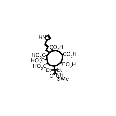 CCC(CC)(C(=O)NOC)C1CC(C(=O)O)CC(C(=O)O)CCC(C(=O)O)C(C/C=C/C2C=CN2)C(C(=O)O)C(C(=O)O)C(C(=O)O)C1